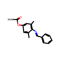 CNC(=O)Oc1cc(C)c(/N=C/c2ccccc2)c(C)c1